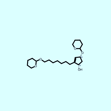 O[C@H]1C[C@@H](OC2CCCCO2)C=C1CCCCCCCOC1CCCCO1